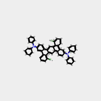 Fc1cccc2c3cc(N(c4ccccc4)c4ccccc4)ccc3c3cc4c(cc3c12)c1ccc(N(c2ccccc2)c2ccccc2)cc1c1cccc(F)c14